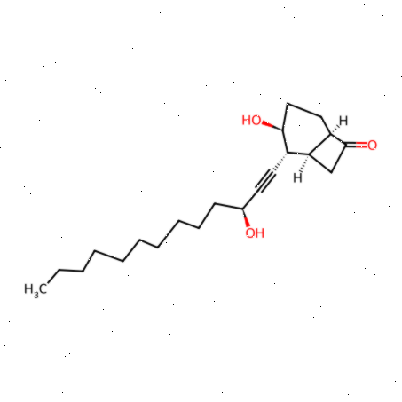 CCCCCCCCCC[C@H](O)C#C[C@H]1[C@@H]2CC(=O)[C@@H]2CC[C@@H]1O